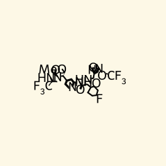 COC[C@H](c1ccnc(NC(=O)C(NC(=O)c2nonc2OCC(F)(F)F)C2CCC(F)CC2)c1)N1C[C@@H](C(F)(F)F)NC1=O